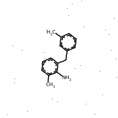 Cc1cccc(Cc2cccc(C)c2N)c1